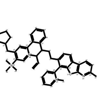 C=CC1C(CCc2ccc3c(oc4nc(C)ccc43)c2-c2cccc[n+]2C)c2ccccc2-c2cc(CC3CCCC3)c([Si](C)(C)C)c[n+]21